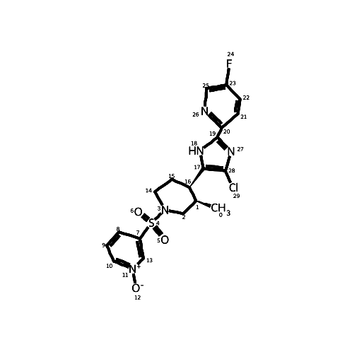 C[C@H]1CN(S(=O)(=O)c2ccc[n+]([O-])c2)CC[C@H]1c1[nH]c(-c2ccc(F)cn2)nc1Cl